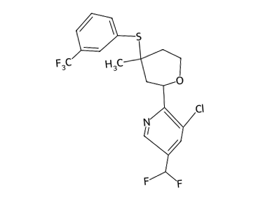 CC1(Sc2cccc(C(F)(F)F)c2)CCOC(c2ncc(C(F)F)cc2Cl)C1